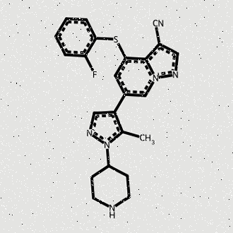 Cc1c(-c2cc(Sc3ccccc3F)c3c(C#N)cnn3c2)cnn1C1CCNCC1